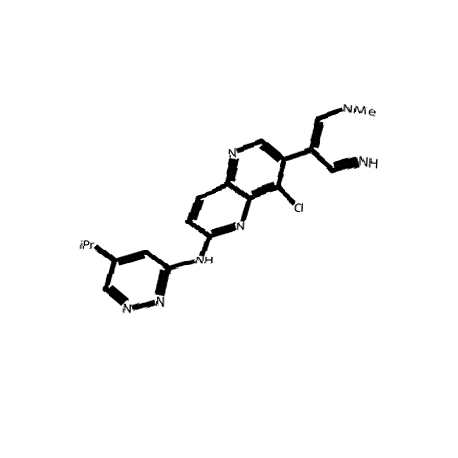 CN/C=C(\C=N)c1cnc2ccc(Nc3cc(C(C)C)cnn3)nc2c1Cl